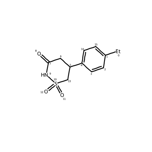 CCc1ccc(C2CC(=O)NS(=O)(=O)C2)cc1